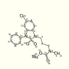 CN(CCCN1c2ccc(Cl)cc2N(c2ccccc2)S1(=O)=O)C(=O)OC(C)(C)C